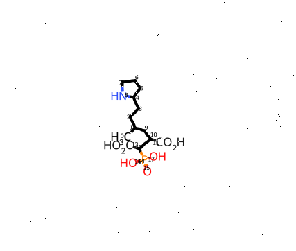 CC(CCC1CCCN1)CC(C(=O)O)C(C(=O)O)P(=O)(O)O